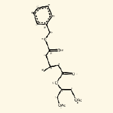 CC(=O)OCC(COC(C)=O)OC(=O)CC(C)CC(=O)OCc1ccccc1